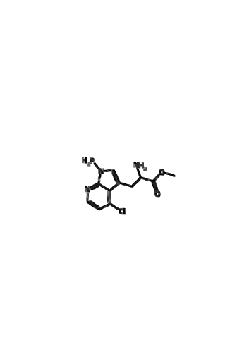 COC(=O)C(N)Cc1cn(P)c2nccc(Cl)c12